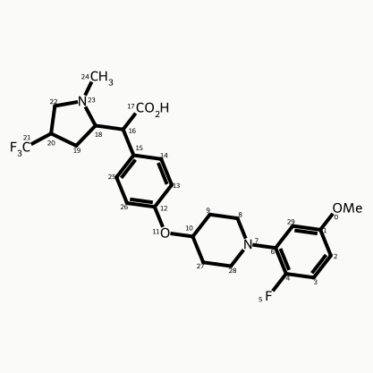 COc1ccc(F)c(N2CCC(Oc3ccc(C(C(=O)O)C4CC(C(F)(F)F)CN4C)cc3)CC2)c1